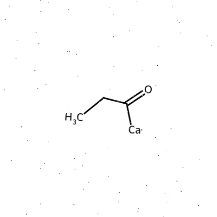 CC[C](=O)[Ca]